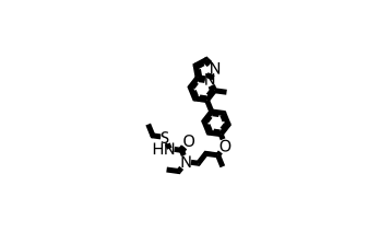 CCSNC(=O)N(CC)CCC(C)Oc1ccc(-c2ccc3ccnn3c2C)cc1